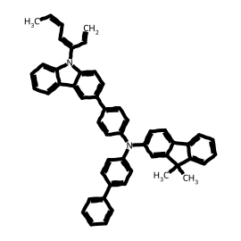 C=C/C(=C\C=C/C)n1c2ccccc2c2cc(-c3ccc(N(c4ccc(-c5ccccc5)cc4)c4ccc5c(c4)C(C)(C)c4ccccc4-5)cc3)ccc21